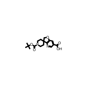 CC(C)(C)OC(=O)N1CCC2(CC1)COc1cc(C(=O)O)cnc12